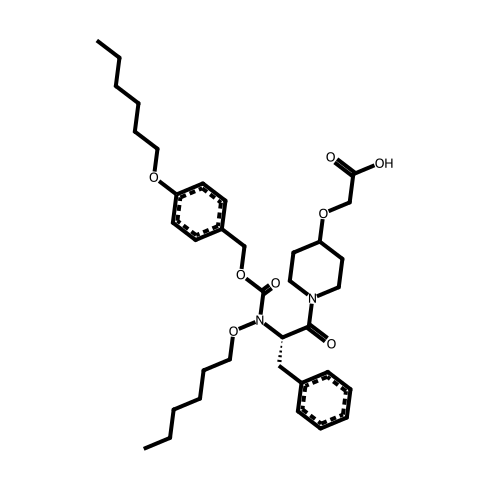 CCCCCCOc1ccc(COC(=O)N(OCCCCCC)[C@@H](Cc2ccccc2)C(=O)N2CCC(OCC(=O)O)CC2)cc1